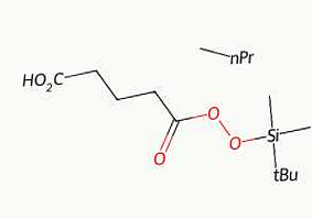 CC(C)(C)[Si](C)(C)OOC(=O)CCCC(=O)O.CCCC